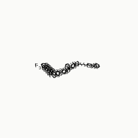 CC1(COCCCCCCOc2ccc(C(=O)Oc3ccc(-c4ccc(OC(F)(F)C(F)(F)C(F)(F)C(F)(F)C(F)(F)C(F)(F)F)cc4)cc3)cc2)COC1